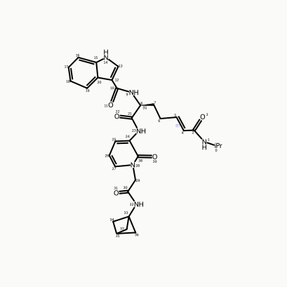 CC(C)NC(=O)/C=C/CC[C@H](NC(=O)c1c[nH]c2ccccc12)C(=O)Nc1cccn(CC(=O)NC23CC(C2)C3)c1=O